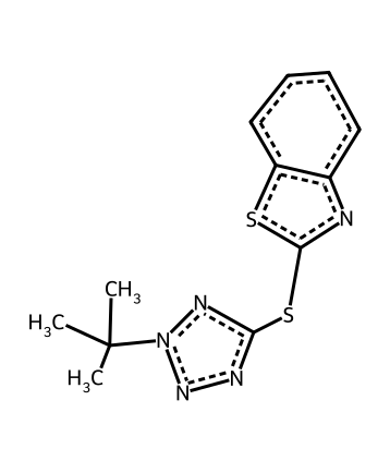 CC(C)(C)n1nnc(Sc2nc3ccccc3s2)n1